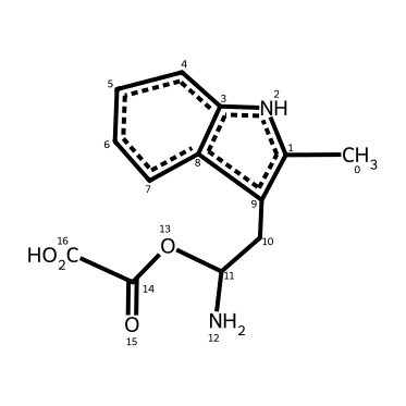 Cc1[nH]c2ccccc2c1CC(N)OC(=O)C(=O)O